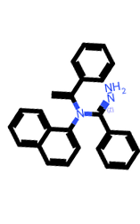 C=C(c1ccccc1)N(/C(=N\N)c1ccccc1)c1cccc2ccccc12